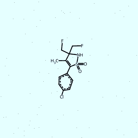 CC1=C(c2ccc(Cl)cc2)S(=O)(=O)NC1(CF)CF